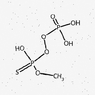 COP(O)(=S)OOP(=O)(O)O